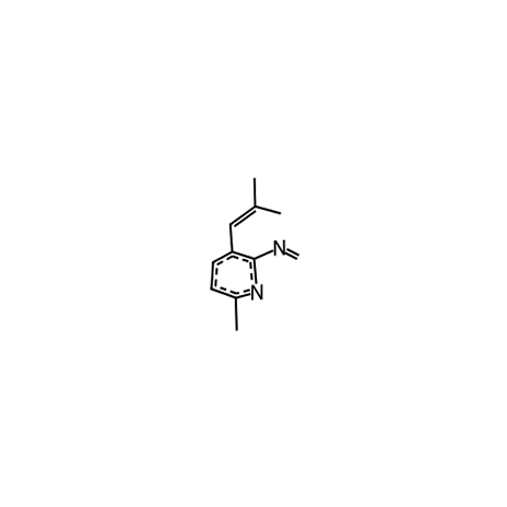 C=Nc1nc(C)ccc1C=C(C)C